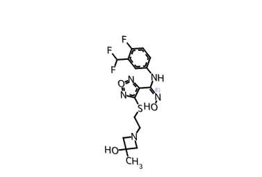 CC1(O)CN(CCSc2nonc2/C(=N\O)Nc2ccc(F)c(C(F)F)c2)C1